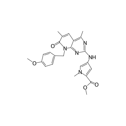 COC(=O)c1cc(Nc2nc(C)c3cc(C)c(=O)n(Cc4ccc(OC)cc4)c3n2)cn1C